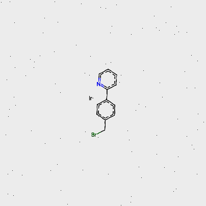 BrCc1ccc(-c2ccccn2)cc1.[Ir]